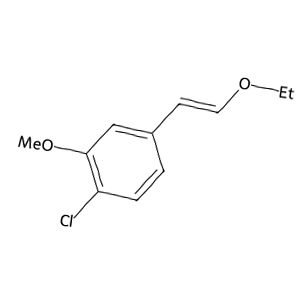 CCO/C=C/c1ccc(Cl)c(OC)c1